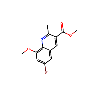 COC(=O)c1cc2cc(Br)cc(OC)c2nc1C